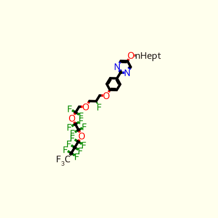 CCCCCCCOc1cnc(-c2ccc(OC[C@@H](F)COCC(F)(F)OC(F)(F)C(F)(F)OC(F)(F)C(F)(F)C(F)(F)C(F)(F)F)cc2)nc1